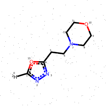 [2H]c1nnc(CCN2CCOCC2)o1